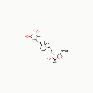 C=C1/C(=C\C=C2/CCC[C@]3(C)[C@@H]([C@H](C)/C=C/[C@@H](O)C4(c5cc(CCCCC)co5)CC4)CC[C@@H]23)C[C@@H](O)C[C@@H]1O